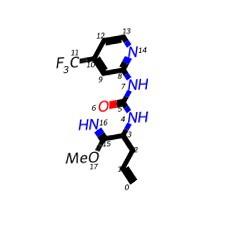 C=CCC(NC(=O)Nc1cc(C(F)(F)F)ccn1)C(=N)OC